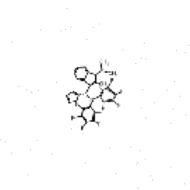 CC1=[C]([Zr]([B](c2c(F)c(F)c(F)c(F)c2F)c2c(F)c(F)c(F)c(F)c2F)[C]2=CC=CC2)c2ccccc2C1P(C)C